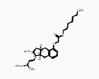 CCCCCCCCCCCCCCCCOC(=O)COc1cccc2c1C[C@H]1C[C@@H](OC(C)=O)[C@H](CC[C@H](CCCCC)OC(C)=O)[C@H]1C2